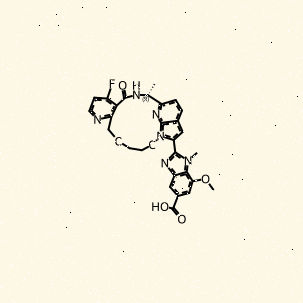 COc1cc(C(=O)O)cc2nc(-c3cc4ccc5nc4n3CCCCCc3nccc(F)c3C(=O)N[C@@H]5C)n(C)c12